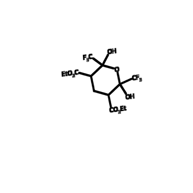 CCOC(=O)C1CC(C(=O)OCC)C(O)(C(F)(F)F)OC1(O)C(F)(F)F